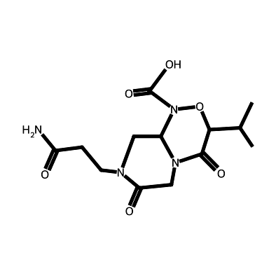 CC(C)C1ON(C(=O)O)C2CN(CCC(N)=O)C(=O)CN2C1=O